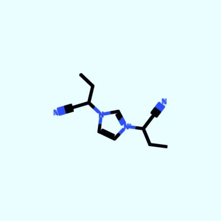 CCC(C#N)n1cc[n+](C(C#N)CC)c1